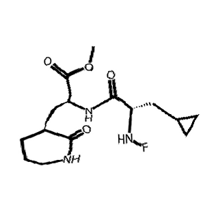 COC(=O)[C@H](C[C@@H]1CCCNC1=O)NC(=O)[C@H](CC1CC1)NF